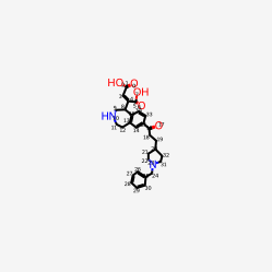 O=C(O)C=C(C(=O)O)C1CNCCc2cc(C(=O)CCC3CCN(Cc4ccccc4)CC3)ccc21